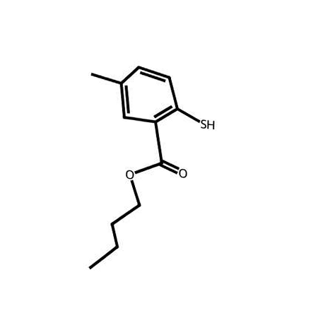 CCCCOC(=O)c1cc(C)ccc1S